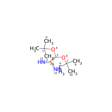 CC(C)(C)OC(OC(C)(C)C)=S(=N)=N